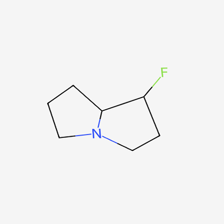 FC1CCN2CCCC12